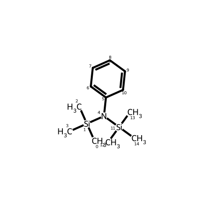 C[Si](C)(C)N(c1cc[c]cc1)[Si](C)(C)C